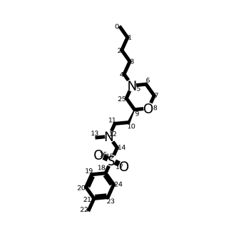 CCCCCN1CCO[C@@H](CCN(C)CS(=O)(=O)c2ccc(C)cc2)C1